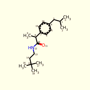 CC(C)Cc1ccc(C(C)C(=O)NCCC(C)(C)C)cc1